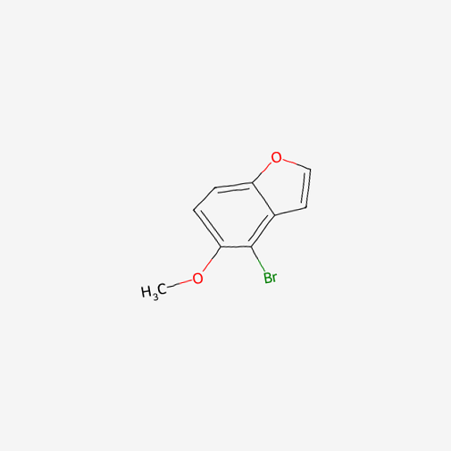 COc1ccc2occc2c1Br